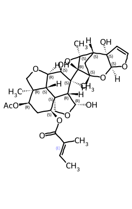 C/C=C(\C)C(=O)O[C@H]1C[C@@H](OC(C)=O)[C@@]2(C)CO[C@H]3[C@@H](O)[C@@](C)([C@]45O[C@@]4(C)[C@H]4C[C@@H]5O[C@@H]5OC=C[C@@]54O)[C@@H]4[C@H](O)OC[C@@]14[C@@H]32